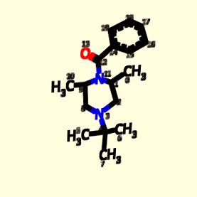 CC1CN(C(C)(C)C)CC(C)N1C(=O)c1ccccc1